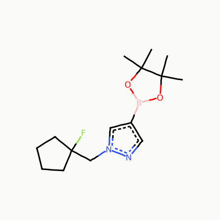 CC1(C)OB(c2cnn(CC3(F)CCCC3)c2)OC1(C)C